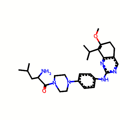 COC1=C(C(C)C)c2nc(Nc3ccc(N4CCN(C(=O)C(N)CC(C)C)CC4)cc3)ncc2CC1